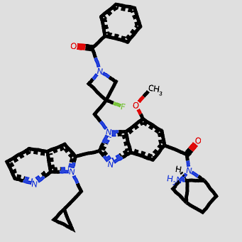 COc1cc(C(=O)N2CC3CCC2[C@@H]3N)cc2nc(-c3cc4cccnc4n3CC3CC3)n(CC3(F)CN(C(=O)c4ccccc4)C3)c12